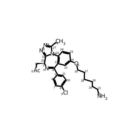 CC(=O)C[C@@H]1N=C(c2ccc(Cl)cc2)c2cc(OCCCCCCN)ccc2-n2c(C)nnc21